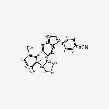 N#Cc1ccc(-c2cnc3ccc(N4CCC[C@H]4c4cc(F)ccc4F)nn23)cc1